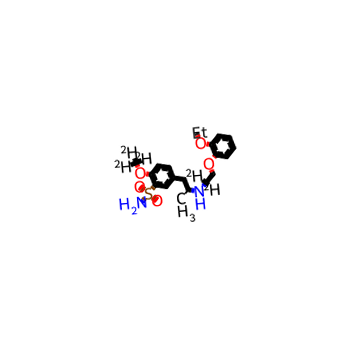 [2H]C([2H])(COc1ccccc1OCC)N[C@H](C)Cc1ccc(OC([2H])([2H])[2H])c(S(N)(=O)=O)c1